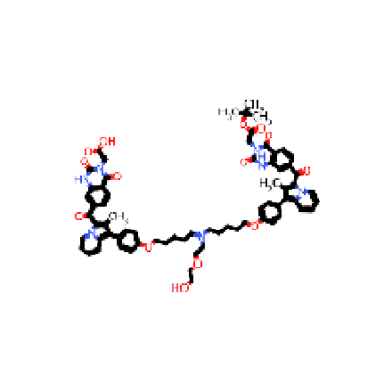 Cc1c(-c2ccc(OCCCCCN(CCCCCOc3ccc(-c4c(C)c(C(=O)c5ccc6c(=O)n(CC(=O)OC(C)(C)C)c(=O)[nH]c6c5)n5ccccc45)cc3)CCOCCO)cc2)c2ccccn2c1C(=O)c1ccc2c(=O)n(CC(=O)O)c(=O)[nH]c2c1